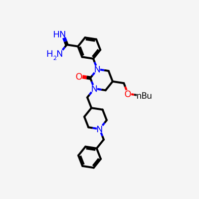 CCCCOCC1CN(CC2CCN(Cc3ccccc3)CC2)C(=O)N(c2cccc(C(=N)N)c2)C1